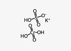 O=S(=O)([O-])O.[K+].[O]=[Cr](=[O])([OH])[OH]